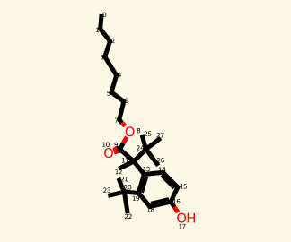 CCCCCCCCOC(=O)C(C)(c1ccc(O)cc1C(C)(C)C)C(C)(C)C